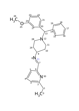 CCc1cccc(/C=N/C2CCN(C(c3ccccc3)c3cccc(OC)c3)CC2)n1